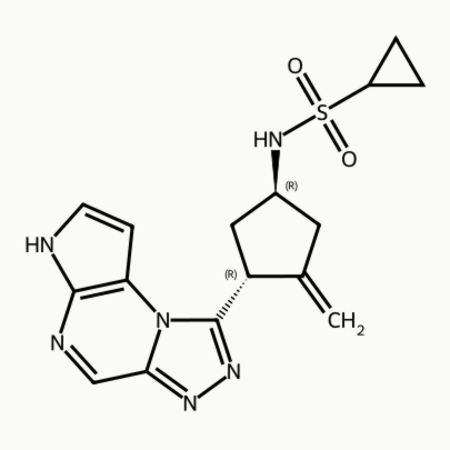 C=C1C[C@H](NS(=O)(=O)C2CC2)C[C@H]1c1nnc2cnc3[nH]ccc3n12